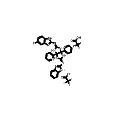 Fc1ccc2[nH]c(N=C3NC4(c5ccccn5)NC(=Nc5nc6ccccc6[nH]5)NC4(c4ccccn4)N3)nc2c1.O=C(O)C(F)(F)F.O=C(O)C(F)(F)F